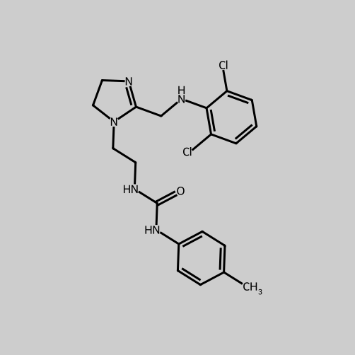 Cc1ccc(NC(=O)NCCN2CCN=C2CNc2c(Cl)cccc2Cl)cc1